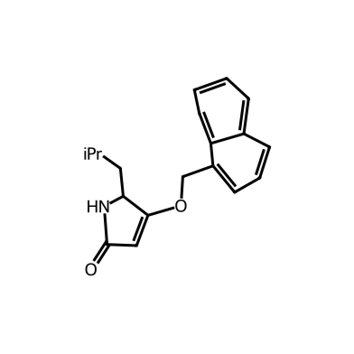 CC(C)CC1NC(=O)C=C1OCc1cccc2ccccc12